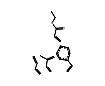 C=CC(=C)C.C=CC(=O)OCC.C=CC=C.C=Cc1ccccc1